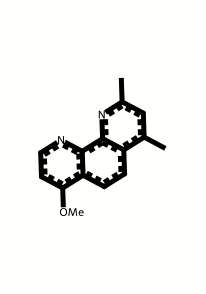 COc1ccnc2c1ccc1c(C)cc(C)nc12